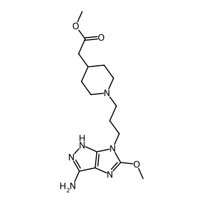 COC(=O)CC1CCN(CCCn2c(OC)nc3c(N)n[nH]c32)CC1